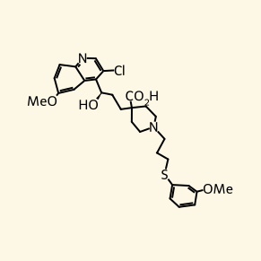 COc1cccc(SCCCN2CCC(CC[C@@H](O)c3c(Cl)cnc4ccc(OC)cc34)(C(=O)O)CC2)c1